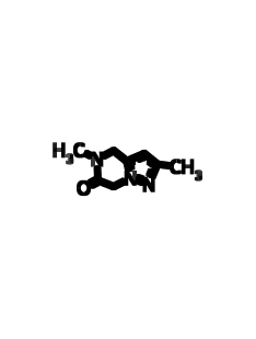 Cc1cc2n(n1)CC(=O)N(C)C2